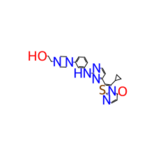 O=c1ccnc2sc(-c3ccnc(Nc4cccc(N5CCN(CCO)CC5)c4)n3)c(C3CC3)n12